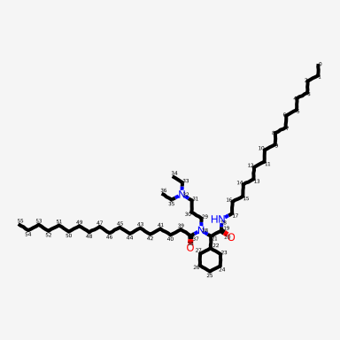 CCCCCCCCCCCCCCCCCCNC(=O)C(C1CCCCC1)N(CCCN(CC)CC)C(=O)CCCCCCCCCCCCCCCCC